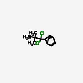 CC(C)([SiH3])C(Cl)(Cl)C1CC2C=CC1C2